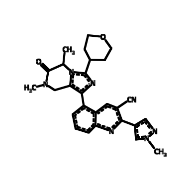 CC1C(=O)N(C)Cc2c(-c3cccc4nc(-c5cnn(C)c5)c(C#N)cc34)nc(C3CCOCC3)n21